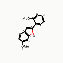 COc1ccc2cc(-c3ccccc3OC)oc2c1